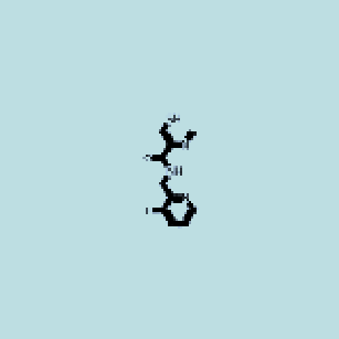 C=N/C(=C\S)C(=O)NCc1ncccc1F